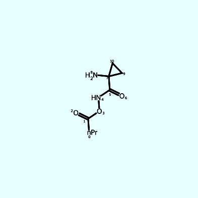 CCCC(=O)ONC(=O)C1(N)CC1